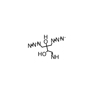 [N-]=[N+]=NCC(O)(CN=[N+]=[N-])C(O)C=N